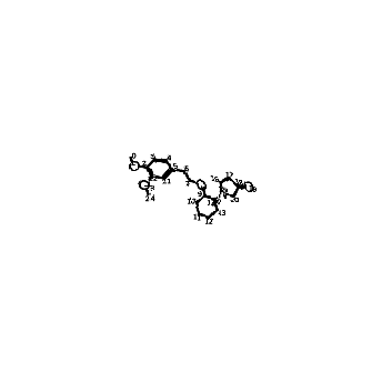 COc1ccc(CCOC2CCCC[C@H]2N2CCC(=O)C2)cc1OC